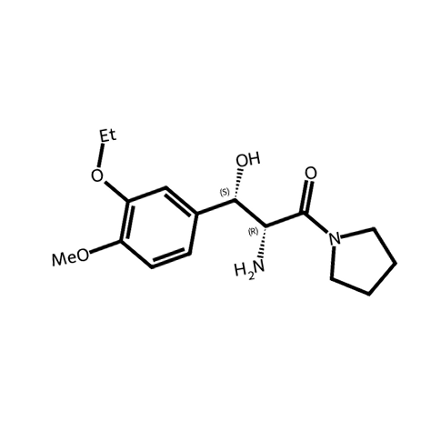 CCOc1cc([C@H](O)[C@@H](N)C(=O)N2CCCC2)ccc1OC